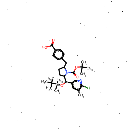 Cc1cc(C(O[Si](C)(C)C(C)(C)C)C2CCC(Cc3ccc(C(=O)O)cc3)N2C(=O)OC(C)(C)C)cnc1Cl